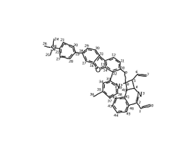 C=CC1=NC2C(C=C)C3(Cc4ccc5c(oc6cc(-c7ccc([Si](C)(C)C)cc7)ccc65)c4-c4cc(C)cc[n+]43)C2c2ccccc21